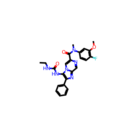 CCNC(=O)Nc1c(-c2ccccc2)nc2cnc(C(=O)N(C)c3ccc(F)c(OC)c3)cn12